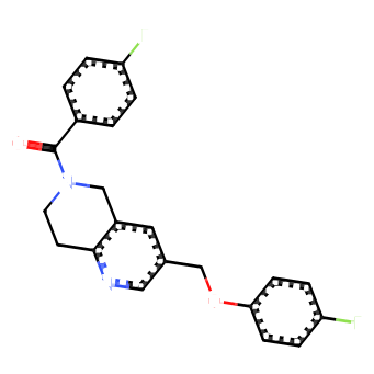 O=C(c1ccc(F)cc1)N1CCc2ncc(COc3ccc(F)cc3)cc2C1